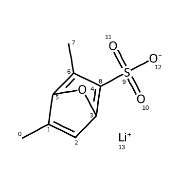 Cc1cc2oc1c(C)c2S(=O)(=O)[O-].[Li+]